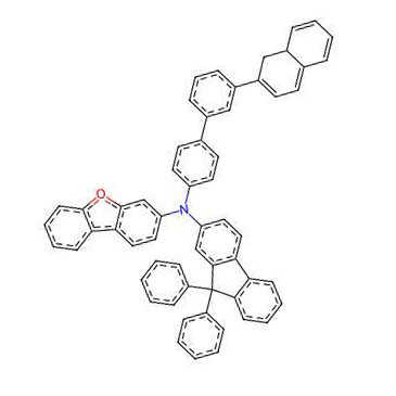 C1=CC2=CC=C(c3cccc(-c4ccc(N(c5ccc6c(c5)C(c5ccccc5)(c5ccccc5)c5ccccc5-6)c5ccc6c(c5)oc5ccccc56)cc4)c3)CC2C=C1